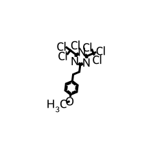 COc1ccc(CCc2nc(C(Cl)(Cl)Cl)nc(C(Cl)(Cl)Cl)n2)cc1